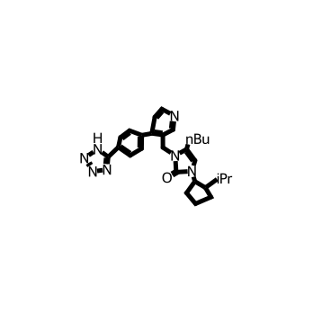 CCCCc1cn(C2CCCC2C(C)C)c(=O)n1Cc1cnccc1-c1ccc(-c2nnn[nH]2)cc1